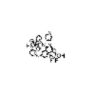 Nc1nccc2ccc(CN3CC[C@H](NS(=O)(=O)c4ccc(-c5cccnc5)s4)C3=O)cc12.O=C(O)C(F)(F)F